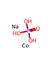 O=P(O)(O)O.[Co].[Na]